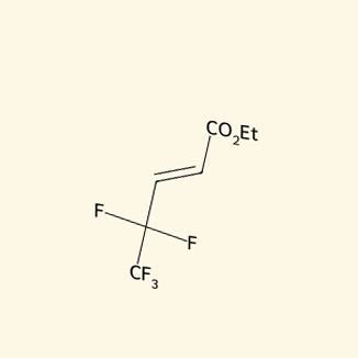 CCOC(=O)/C=C/C(F)(F)C(F)(F)F